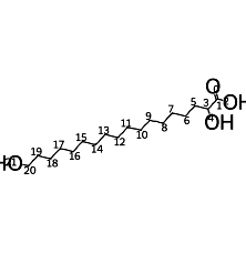 O=C(O)C(O)CCCCCCCCCCCCCCCCO